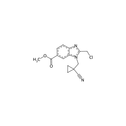 COC(=O)c1ccc2nc(CCl)n(CC3(C#N)CC3)c2c1